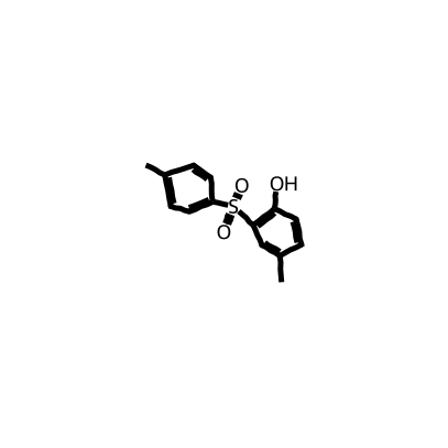 Cc1ccc(S(=O)(=O)c2cc(C)ccc2O)cc1